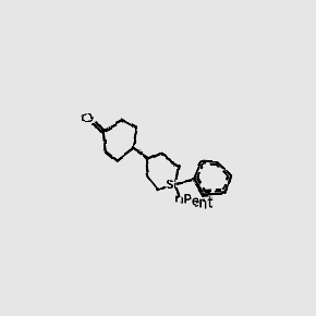 CCCCC[Si]1(c2ccccc2)CCC(C2CCC(=O)CC2)CC1